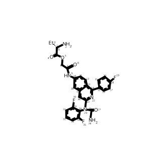 CC[C@H](N)C(=O)OCC(=O)Nc1ccc2c(-c3ccc(F)cc3)nc(N(C(N)=O)c3c(F)cccc3F)cc2c1